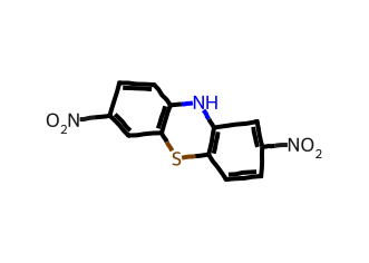 O=[N+]([O-])c1ccc2c(c1)Nc1ccc([N+](=O)[O-])cc1S2